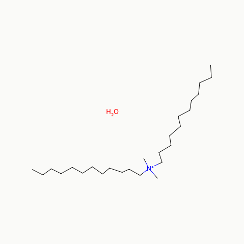 CCCCCCCCCCCC[N+](C)(C)CCCCCCCCCCCC.O